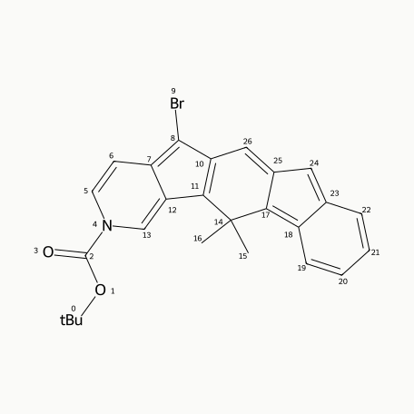 CC(C)(C)OC(=O)n1ccc2c(Br)c3c(c-2c1)C(C)(C)C1=c2ccccc2=CC1=C3